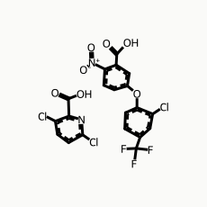 O=C(O)c1cc(Oc2ccc(C(F)(F)F)cc2Cl)ccc1[N+](=O)[O-].O=C(O)c1nc(Cl)ccc1Cl